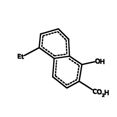 CCc1cccc2c(O)c(C(=O)O)ccc12